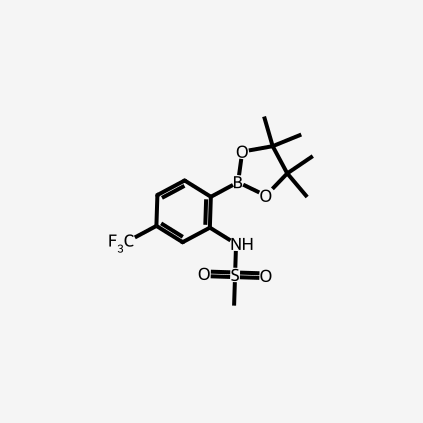 CC1(C)OB(c2ccc(C(F)(F)F)cc2NS(C)(=O)=O)OC1(C)C